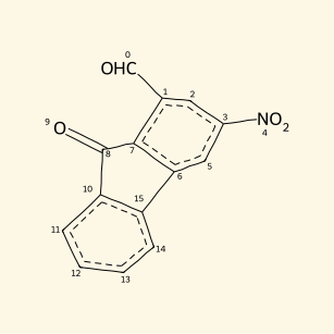 O=Cc1cc([N+](=O)[O-])cc2c1C(=O)c1ccccc1-2